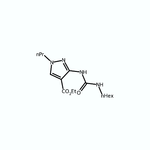 CCCCCCNC(=O)Nc1nn(CCC)cc1C(=O)OCC